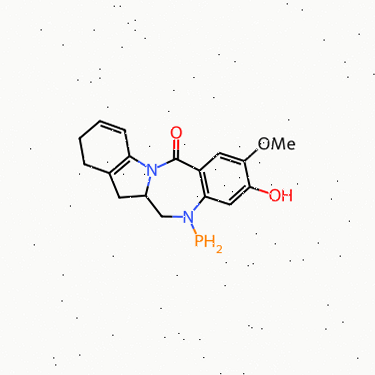 COc1cc2c(cc1O)N(P)CC1CC3=C(C=CCC3)N1C2=O